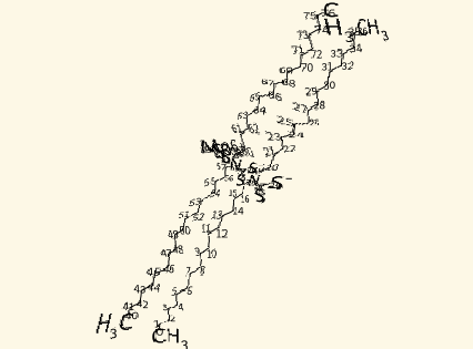 CCCCCCCCCCCCCCCCCCN(CCCCCCCCCCCCCCCCCC)C(=S)[S-].CCCCCCCCCCCCCCCCCCN(CCCCCCCCCCCCCCCCCC)C(=S)[S-].[Mo+6].[S-2].[S-2]